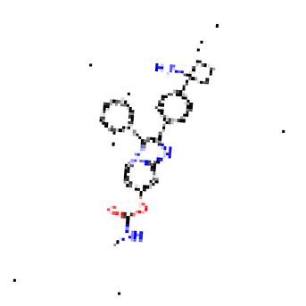 CNC(=O)Oc1ccn2c(-c3ccccc3)c(-c3ccc(C4(N)CCC4)cc3)nc2c1